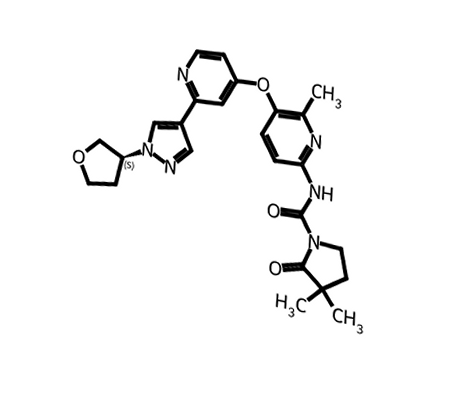 Cc1nc(NC(=O)N2CCC(C)(C)C2=O)ccc1Oc1ccnc(-c2cnn([C@H]3CCOC3)c2)c1